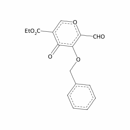 CCOC(=O)c1coc(C=O)c(OCc2ccccc2)c1=O